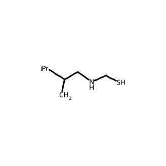 CC(C)C(C)CNCS